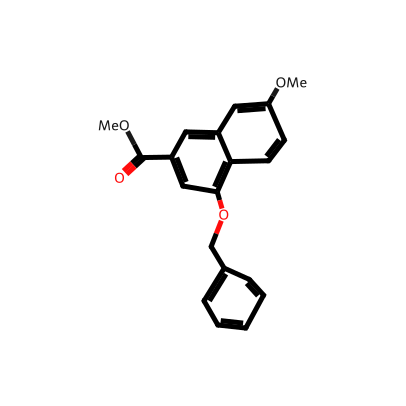 COC(=O)c1cc(OCc2ccccc2)c2ccc(OC)cc2c1